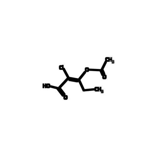 CC/C(OC(C)=O)=C(/Cl)C(=O)O